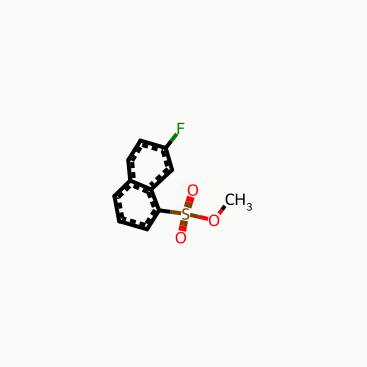 COS(=O)(=O)c1cccc2ccc(F)cc12